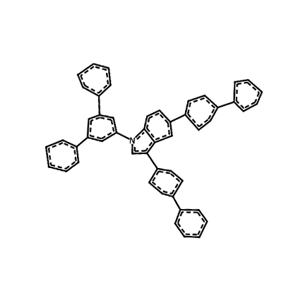 c1ccc(-c2ccc(-c3ccc4c(c3)c(-c3ccc(-c5ccccc5)cc3)cn4-c3cc(-c4ccccc4)cc(-c4ccccc4)c3)cc2)cc1